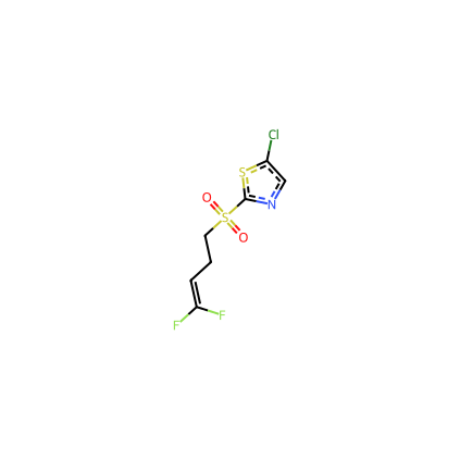 O=S(=O)(CCC=C(F)F)c1ncc(Cl)s1